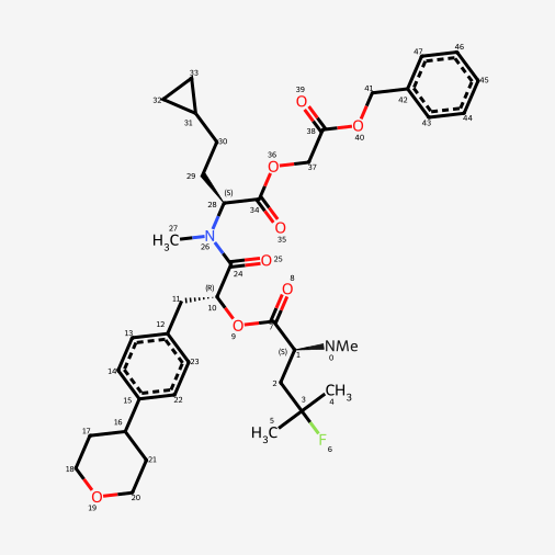 CN[C@@H](CC(C)(C)F)C(=O)O[C@H](Cc1ccc(C2CCOCC2)cc1)C(=O)N(C)[C@@H](CCC1CC1)C(=O)OCC(=O)OCc1ccccc1